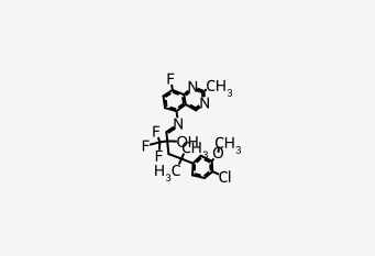 COc1cc(C(C)(C)CC(O)(C=Nc2ccc(F)c3nc(C)ncc23)C(F)(F)F)ccc1Cl